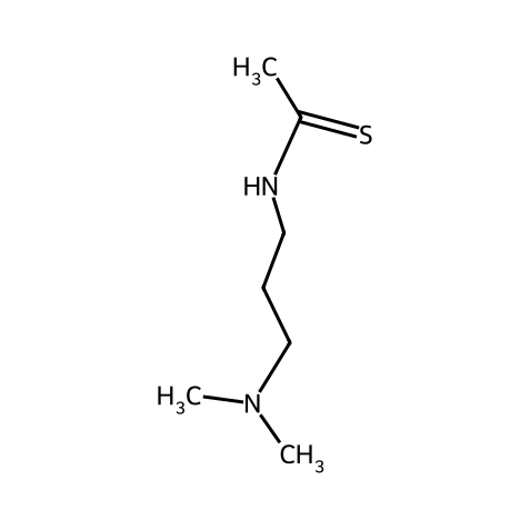 CC(=S)NCCCN(C)C